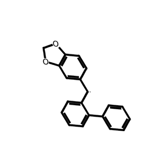 [CH](c1ccc2c(c1)OCO2)c1ccccc1-c1ccccc1